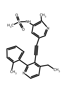 CCc1ccnc(-c2ccccc2C)c1C#Cc1cnc(C)c(NS(C)(=O)=O)c1